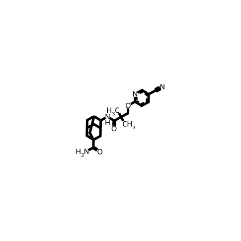 CC(C)(COc1ccc(C#N)cn1)C(=O)NC1C2CC3CC1CC(C(N)=O)(C3)C2